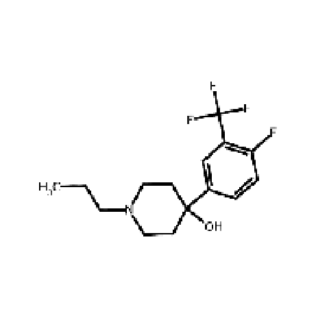 CCCN1CCC(O)(c2ccc(F)c(C(F)(F)F)c2)CC1